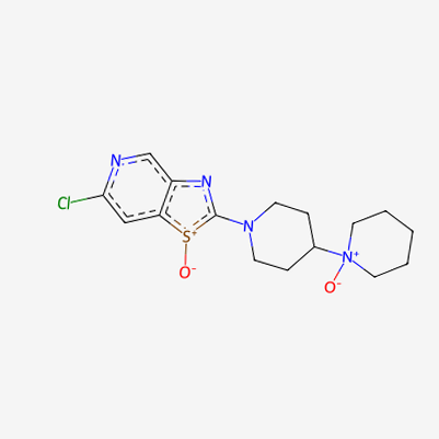 [O-][s+]1c(N2CCC([N+]3([O-])CCCCC3)CC2)nc2cnc(Cl)cc21